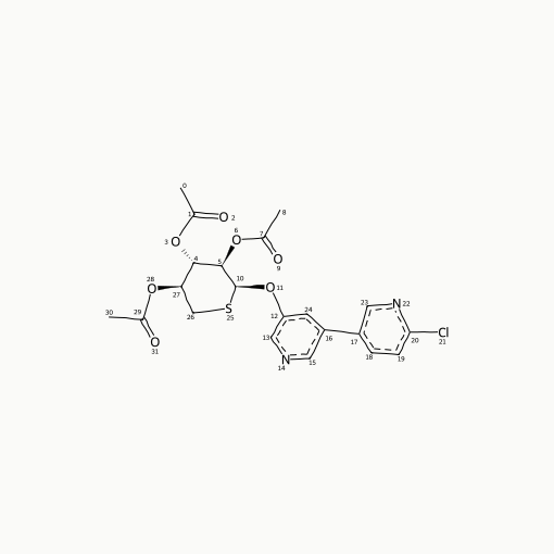 CC(=O)O[C@@H]1[C@@H](OC(C)=O)[C@@H](Oc2cncc(-c3ccc(Cl)nc3)c2)SC[C@H]1OC(C)=O